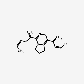 C=C(/C=C\CC)C1=C2CCCN2C(C(=C)S/C=C\C)=NC1